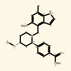 CCO[C@@H]1CCN(Cc2c(OC)cc(C)c3[nH]ccc23)[C@@H](c2ccc(C(=O)OC)cc2)C1